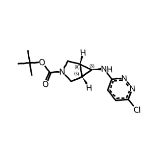 CC(C)(C)OC(=O)N1C[C@@H]2[C@H](C1)[C@H]2Nc1ccc(Cl)nn1